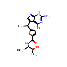 CC(c1ccc(C(=O)NC(C(=O)O)C(C)O)s1)c1cnc2[nH]c(N)nc(O)c1-2